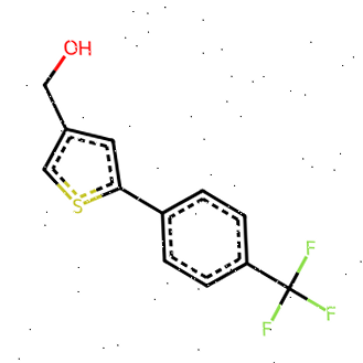 OCc1csc(-c2ccc(C(F)(F)F)cc2)c1